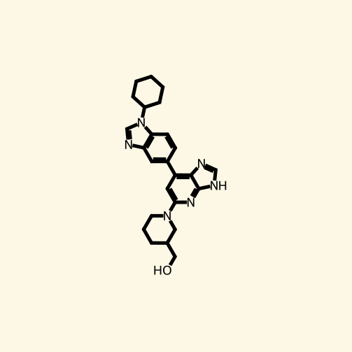 OCC1CCCN(c2cc(-c3ccc4c(c3)ncn4C3CCCCC3)c3nc[nH]c3n2)C1